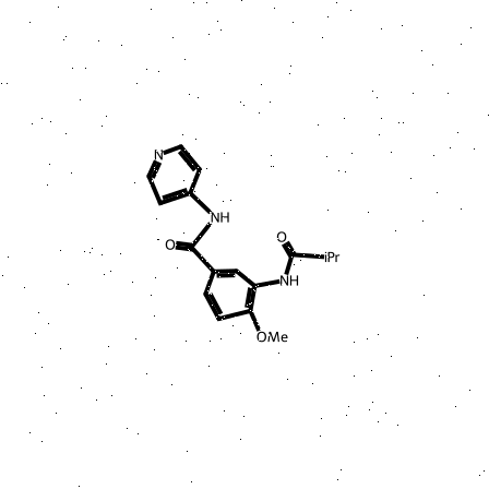 COc1ccc(C(=O)Nc2ccncc2)cc1NC(=O)C(C)C